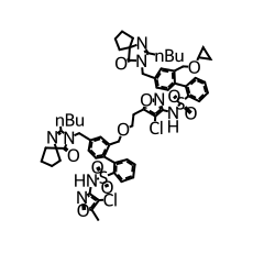 CCCCC1=NC2(CCCC2)C(=O)N1Cc1ccc(-c2ccccc2S(=O)(=O)Nc2noc(C)c2Cl)c(COCCc2onc(NS(=O)(=O)c3ccccc3-c3ccc(CN4C(=O)C5(CCCC5)N=C4CCCC)cc3COC3CC3)c2Cl)c1